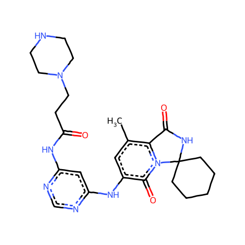 Cc1cc(Nc2cc(NC(=O)CCN3CCNCC3)ncn2)c(=O)n2c1C(=O)NC21CCCCC1